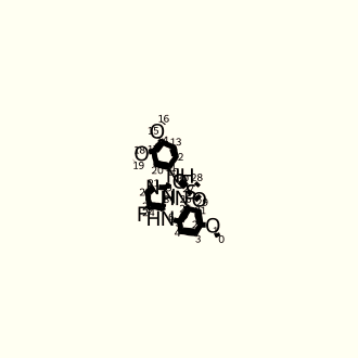 COc1ccc(Nc2nc(Nc3ccc(OC)c(OC)c3)ncc2F)c(NS(C)(=O)=O)c1